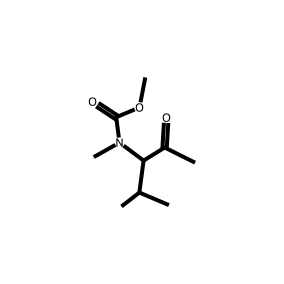 COC(=O)N(C)C(C(C)=O)C(C)C